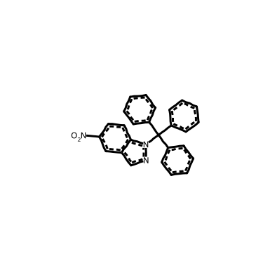 O=[N+]([O-])c1ccc2c(cnn2C(c2ccccc2)(c2ccccc2)c2ccccc2)c1